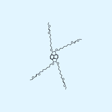 CCOC=COCCCCCCCOC1c2ccc3c4c(ccc(c24)C1OCCCCCCCOC=COCC)C(OCCCCCCCOC=COCC)C3OCCCCCCCOC=COCC